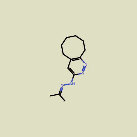 CC(C)=NNc1cc2c(nn1)CCCCCC2